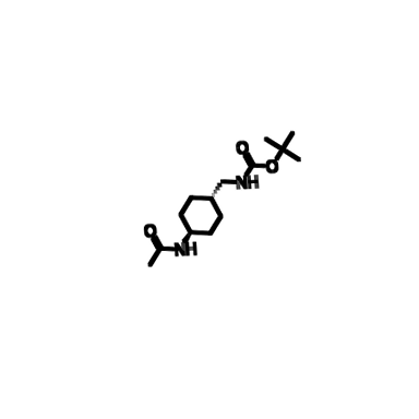 CC(=O)N[C@H]1CC[C@H](CNC(=O)OC(C)(C)C)CC1